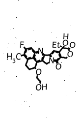 CC[C@@]1(O)C(=O)OCc2c1cc1n(c2=O)Cc2c-1nc1cc(F)c(C)c3c1c2[C@@H](OCCO)CC3